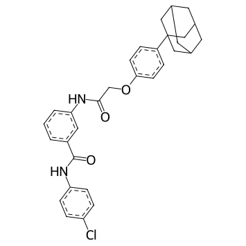 O=C(COc1ccc(C23CC4CC(CC(C4)C2)C3)cc1)Nc1cccc(C(=O)Nc2ccc(Cl)cc2)c1